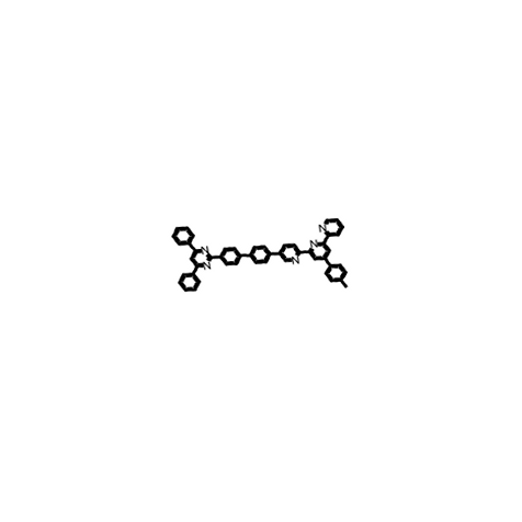 Cc1ccc(-c2cc(-c3ccccn3)nc(-c3ccc(-c4ccc(-c5ccc(-c6nc(-c7ccccc7)cc(-c7ccccc7)n6)cc5)cc4)cn3)c2)cc1